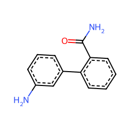 NC(=O)c1ccccc1-c1cccc(N)c1